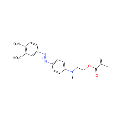 C=C(C)C(=O)OCCN(C)c1ccc(/N=N/c2ccc([N+](=O)[O-])c(C(=O)O)c2)cc1